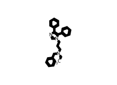 CCN(CCCn1cnc(-c2ccccc2)c1-c1ccccc1)Cc1ccccc1